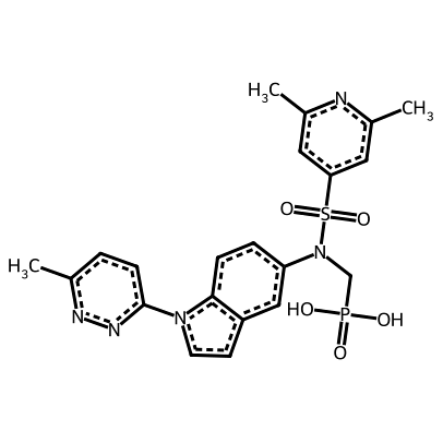 Cc1ccc(-n2ccc3cc(N(CP(=O)(O)O)S(=O)(=O)c4cc(C)nc(C)c4)ccc32)nn1